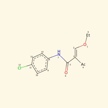 CCOC=C(C(C)=O)C(=O)Nc1ccc(Cl)cc1